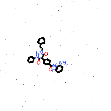 Nc1ccccc1NC(=O)c1ccc(C(C(=O)NCCc2ccccc2)C(=O)Nc2ccccc2)cc1